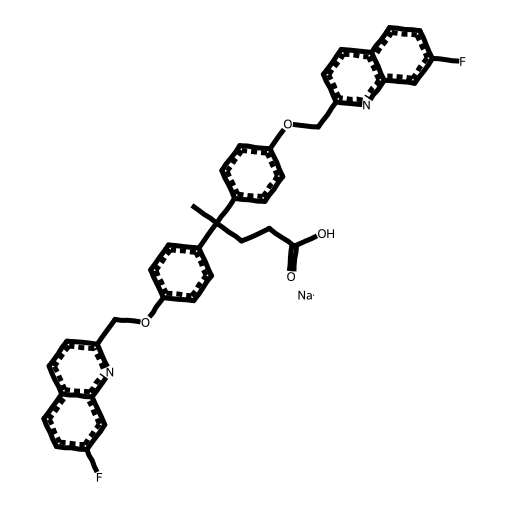 CC(CCC(=O)O)(c1ccc(OCc2ccc3ccc(F)cc3n2)cc1)c1ccc(OCc2ccc3ccc(F)cc3n2)cc1.[Na]